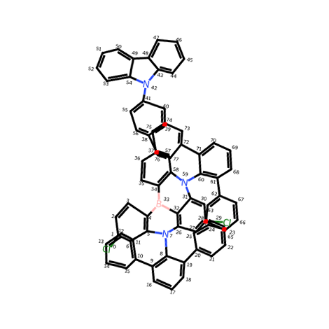 Clc1ccc2c(c1)N(c1c(-c3ccccc3)cccc1-c1ccccc1)c1cc(Cl)cc3c1B2c1ccc(-c2ccc(-n4c5ccccc5c5ccccc54)cc2)cc1N3c1c(-c2ccccc2)cccc1-c1ccccc1